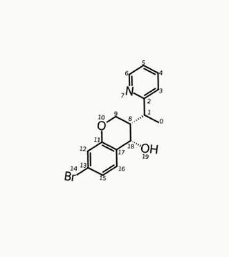 CC(c1ccccn1)[C@H]1COc2cc(Br)ccc2[C@H]1O